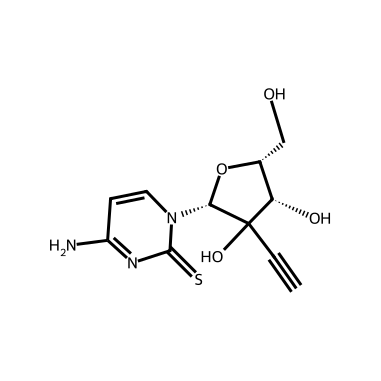 C#CC1(O)[C@@H](O)[C@@H](CO)O[C@H]1n1ccc(N)nc1=S